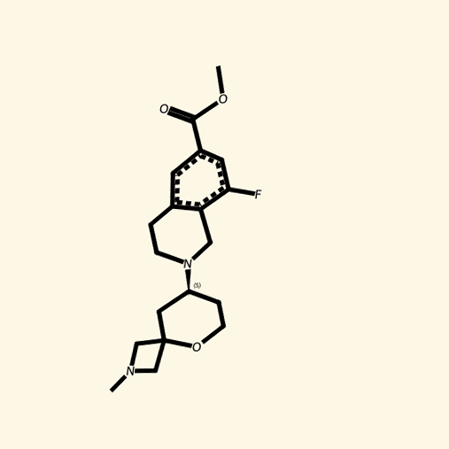 COC(=O)c1cc(F)c2c(c1)CCN([C@H]1CCOC3(C1)CN(C)C3)C2